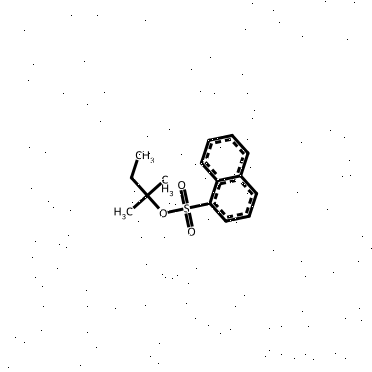 CCC(C)(C)OS(=O)(=O)c1cccc2ccccc12